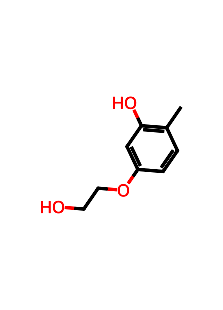 Cc1ccc(OCCO)cc1O